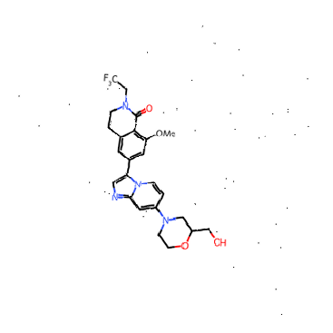 COc1cc(-c2cnc3cc(N4CCOC(CO)C4)ccn23)cc2c1C(=O)N(CC(F)(F)F)CC2